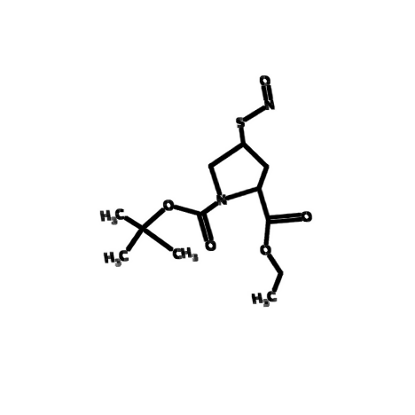 CCOC(=O)C1CC(SN=O)CN1C(=O)OC(C)(C)C